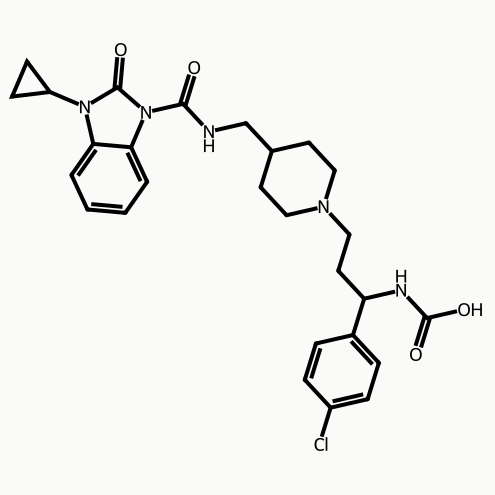 O=C(O)NC(CCN1CCC(CNC(=O)n2c(=O)n(C3CC3)c3ccccc32)CC1)c1ccc(Cl)cc1